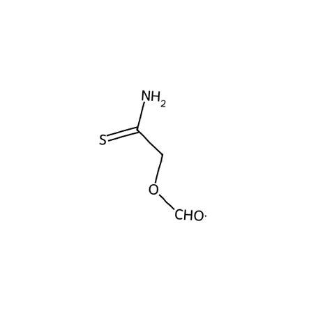 NC(=S)CO[C]=O